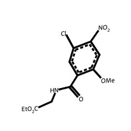 CCOC(=O)CNC(=O)c1cc(Cl)c([N+](=O)[O-])cc1OC